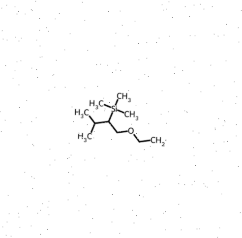 [CH2]COCC(C(C)C)[Si](C)(C)C